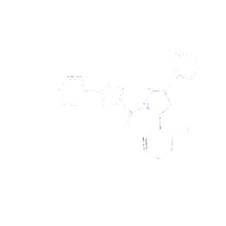 O=C(c1ccc(-c2ccccc2)o1)N1N=C(c2cccnc2)CC1C1=C(O)CCC=C1